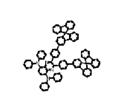 c1ccc(N(c2ccccc2)c2ccc(N(c3ccccc3)c3ccccc3)c3nc(-c4ccc(-c5ccc6c(c5)-c5ccccc5C65c6ccccc6-c6ccccc65)cc4)c(-c4ccc(-c5ccc6c(c5)-c5ccccc5C65c6ccccc6-c6ccccc65)cc4)nc23)cc1